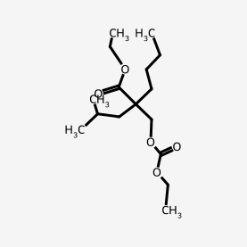 CCCCC(COC(=O)OCC)(CC(C)C)C(=O)OCC